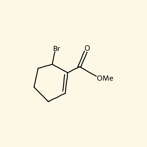 COC(=O)C1=CCCCC1Br